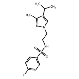 Cc1nn(CCNS(=O)(=O)c2ccc(F)cc2)cc1C(C)C